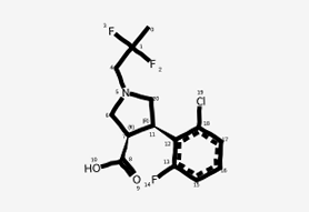 CC(F)(F)CN1C[C@H](C(=O)O)[C@H](c2c(F)cccc2Cl)C1